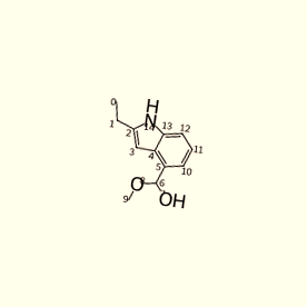 CCc1cc2c(C(O)OC)cccc2[nH]1